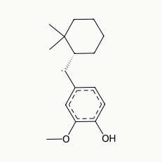 COc1cc([CH][C@H]2CCCCC2(C)C)ccc1O